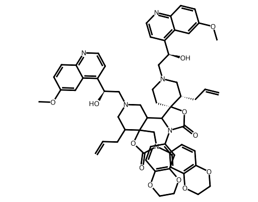 C=CCC1CN(C[C@@H](O)c2ccnc3ccc(OC)cc23)CC(C2N(c3ccc4c(c3)OCCO4)C(=O)O[C@@]23CCN(C[C@H](O)c2ccnc4ccc(OC)cc24)C[C@@H]3CC=C)C12CN(c1ccc3c(c1)OCCO3)C(=O)O2